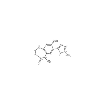 COc1cc2c(cc1-c1nnc(C)o1)N(C)C(=O)CCO2